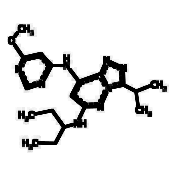 CCC(CC)Nc1cc(Nc2cc(OC)ncn2)c2nnc(C(C)C)n2n1